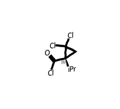 CC(C)[C@]1(C(=O)Cl)CC1(Cl)Cl